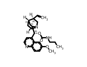 C=C[C@H]1CN2CC[C@H]1C[C@H]2[C@H](OC(=O)NCCC)c1ccnc2ccc(OC)cc12